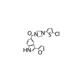 O=C(c1ccc2[nH]cc(-c3ccco3)c2c1)N1CCN(c2ccc(Cl)s2)CC1